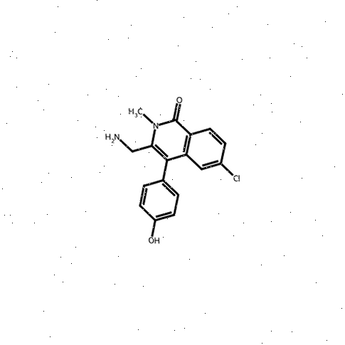 Cn1c(CN)c(-c2ccc(O)cc2)c2cc(Cl)ccc2c1=O